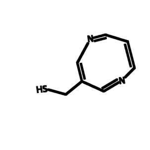 SCC1=CN=CC=CN=C1